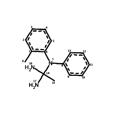 Cc1ccccc1N(c1ccccc1)C(C)(N)N